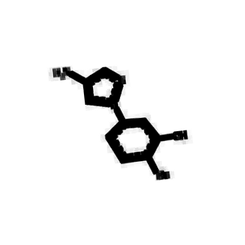 CCC(C)c1ccc(-n2cc(N)cn2)cc1O